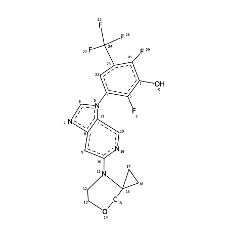 Oc1c(F)c(-n2cnc3cc(N4CCOCC45CC5)ncc32)cc(C(F)(F)F)c1F